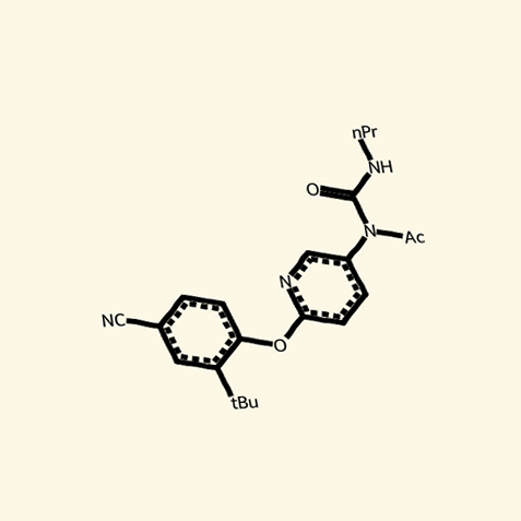 CCCNC(=O)N(C(C)=O)c1ccc(Oc2ccc(C#N)cc2C(C)(C)C)nc1